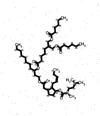 CC/C=C\CC1C(CC(=O)OCCC(CCCCCCCC)OC(=O)CCCCC(COC(=O)CCCCC)COC(=O)CCCCC)CCC1OC(=O)N(C)CCN(C)C